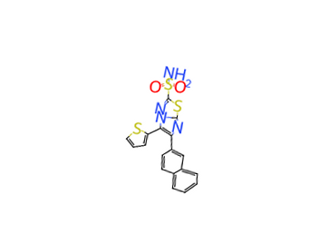 NS(=O)(=O)c1nn2c(-c3cccs3)c(-c3ccc4ccccc4c3)nc2s1